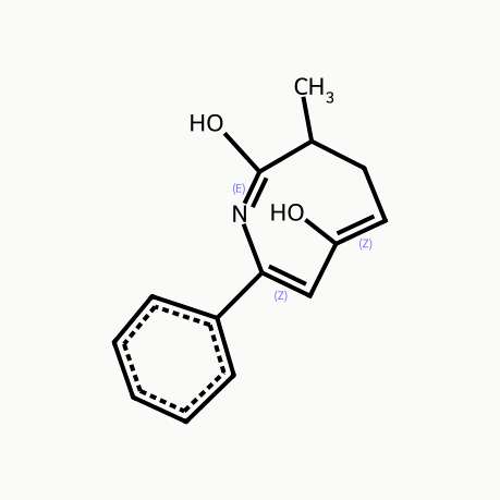 CC1C/C=C(O)/C=C(c2ccccc2)\N=C/1O